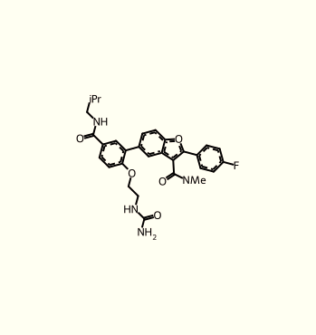 CNC(=O)c1c(-c2ccc(F)cc2)oc2ccc(-c3cc(C(=O)NCC(C)C)ccc3OCCNC(N)=O)cc12